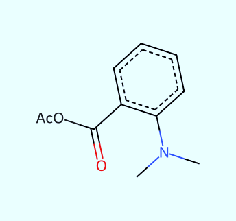 CC(=O)OC(=O)c1ccccc1N(C)C